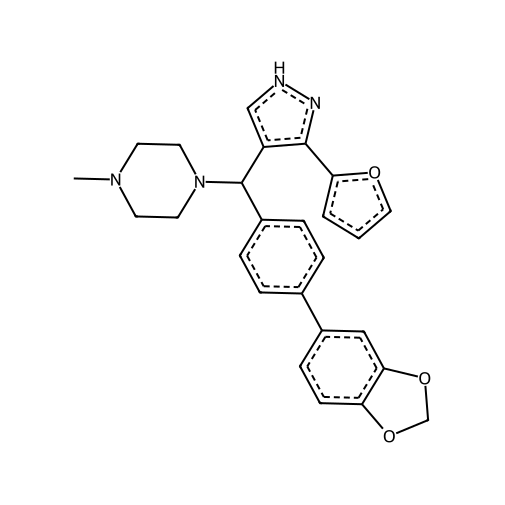 CN1CCN(C(c2ccc(-c3ccc4c(c3)OCO4)cc2)c2c[nH]nc2-c2ccco2)CC1